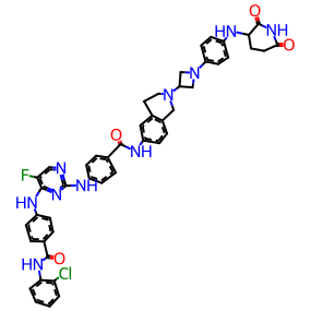 O=C1CCC(Nc2ccc(N3CC(N4CCc5cc(NC(=O)c6ccc(Nc7ncc(F)c(Nc8ccc(C(=O)Nc9ccccc9Cl)cc8)n7)cc6)ccc5C4)C3)cc2)C(=O)N1